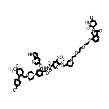 CC1(C)CCC(CN2CCN(c3ccc(C(=O)NS(=O)(=O)c4ccc(NCC5CCCN(CCOCCOCCSc6cccc7c6CN(C6CCC(=O)NC6=O)C7=O)C5)c([N+](=O)[O-])c4)c(Oc4cnc5[nH]ccc5c4)c3)CC2)=C(c2ccc(Cl)cc2)C1